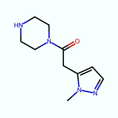 Cn1nccc1CC(=O)N1CCNCC1